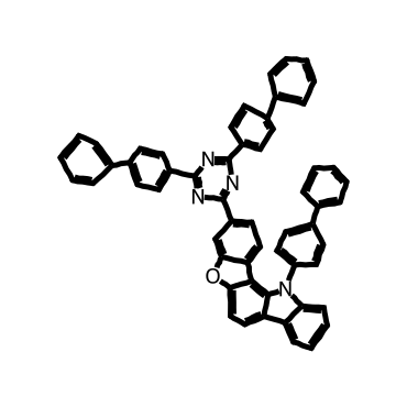 c1ccc(-c2ccc(-c3nc(-c4ccc(-c5ccccc5)cc4)nc(-c4ccc5c(c4)oc4ccc6c7ccccc7n(-c7ccc(-c8ccccc8)cc7)c6c45)n3)cc2)cc1